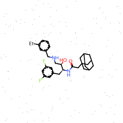 CCc1cccc(CNC[C@@H](O)[C@H](Cc2cc(F)cc(F)c2)NC(=O)CC23CC4CC(CC(C4)C2)C3)c1